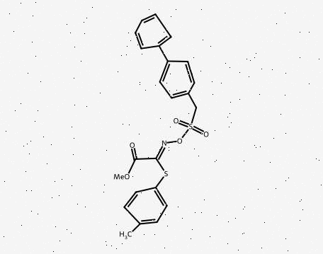 COC(=O)/C(=N/OS(=O)(=O)Cc1ccc(-c2ccccc2)cc1)Sc1ccc(C)cc1